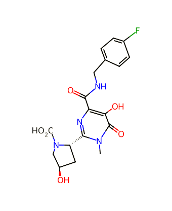 Cn1c([C@@H]2C[C@@H](O)CN2C(=O)O)nc(C(=O)NCc2ccc(F)cc2)c(O)c1=O